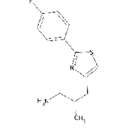 CC(CN)Cc1csc(-c2ccc(F)cc2)n1